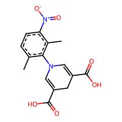 Cc1ccc([N+](=O)[O-])c(C)c1N1C=C(C(=O)O)CC(C(=O)O)=C1